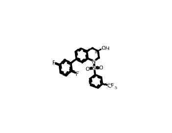 O=S(=O)(c1cccc(C(F)(F)F)c1)N1C[C@H](O)Cc2ccc(-c3cc(F)ccc3F)cc21